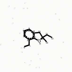 CCc1cccc2c1OC(C)(CC)C2